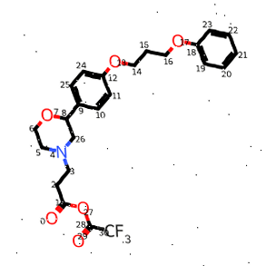 O=C(CCN1CCOC(c2ccc(OCCCOc3ccccc3)cc2)C1)OC(=O)C(F)(F)F